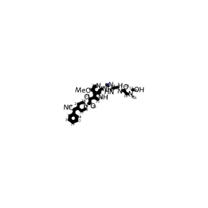 COc1cnc(N/C=N\C(=N)CNC(=O)CN(C)CO)c2[nH]cc(C(=O)C(=O)N3CCC(=C(C#N)c4ccccc4)CC3)c12